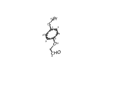 CC(C)Sc1ccc(OCC=O)cc1